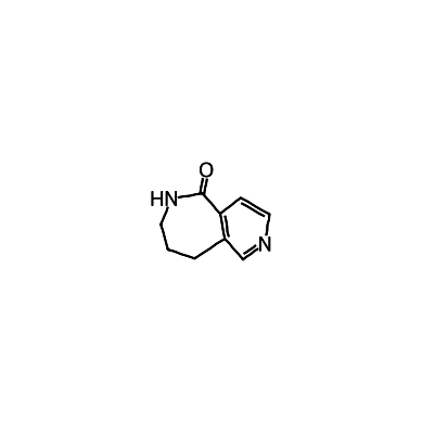 O=C1NCCCc2cnccc21